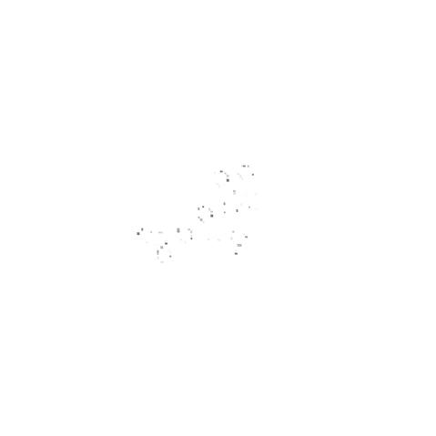 c1ccc(-c2c(-c3ccccc3)c3cc(-c4cccc(N(c5ccc(-c6cc7ccccc7c7ccccc67)cc5)c5cccc(-c6cccc7ccccc67)c5)c4)ccc3c3ccccc23)cc1